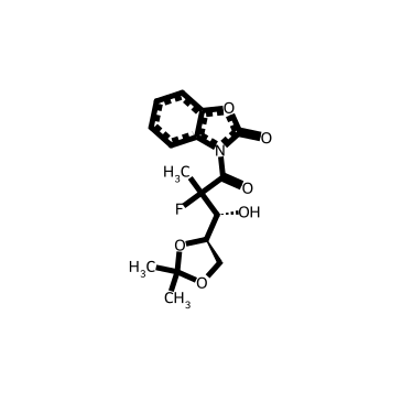 CC1(C)OC[C@H]([C@@H](O)C(C)(F)C(=O)n2c(=O)oc3ccccc32)O1